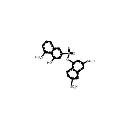 O=S(=O)(O)c1ccc2c(OS(=O)(=O)c3cc(O)c4c(S(=O)(=O)O)cccc4c3)cc(S(=O)(=O)O)cc2c1